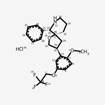 COc1ccc(OCC(F)(F)F)cc1[C@H]1CO[C@]2(CCCN[C@H]2c2ccccc2)C1.Cl